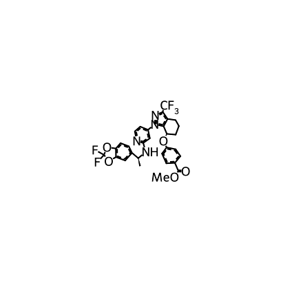 COC(=O)c1ccc(O[C@H]2CCCc3c(C(F)(F)F)nn(-c4ccnc(N[C@@H](C)c5ccc6c(c5)OC(F)(F)O6)c4)c32)cc1